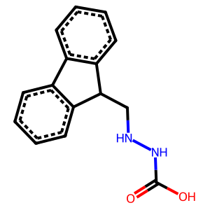 O=C(O)NNCC1c2ccccc2-c2ccccc21